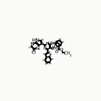 CCOC(=O)[C@@H]1C2CCC(CC2)[C@H]1Nc1nc(-c2c[nH]c3ncc(Cl)nc23)nc(-c2cc3ccccc3s2)c1F